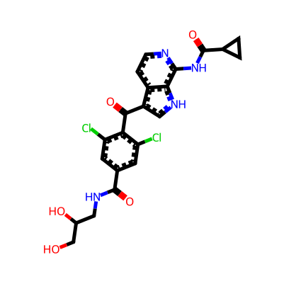 O=C(NCC(O)CO)c1cc(Cl)c(C(=O)c2c[nH]c3c(NC(=O)C4CC4)nccc23)c(Cl)c1